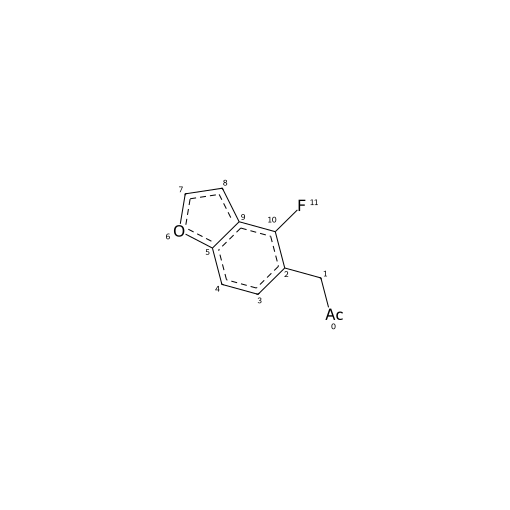 CC(=O)Cc1ccc2occc2c1F